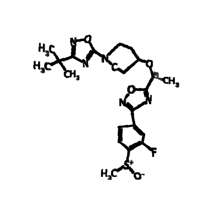 C[C@@H](OC1CCN(c2nc(C(C)(C)C)no2)CC1)c1nc(-c2ccc([S+](C)[O-])c(F)c2)no1